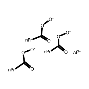 CCCC(=O)O[O-].CCCC(=O)O[O-].CCCC(=O)O[O-].[Al+3]